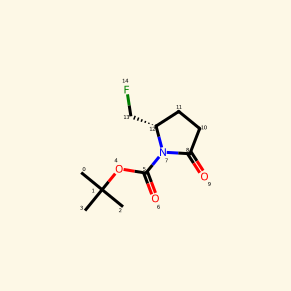 CC(C)(C)OC(=O)N1C(=O)CC[C@H]1CF